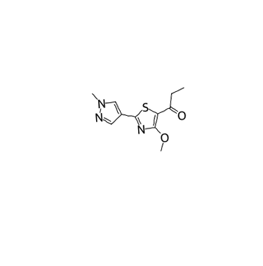 CCC(=O)c1sc(-c2cnn(C)c2)nc1OC